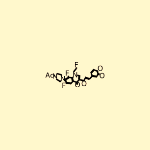 CC(=O)N1CCN(c2c(F)cc3c(=O)c(C(=O)C=CC4=CC(=O)C(=O)C=C4)cn(CCF)c3c2F)CC1